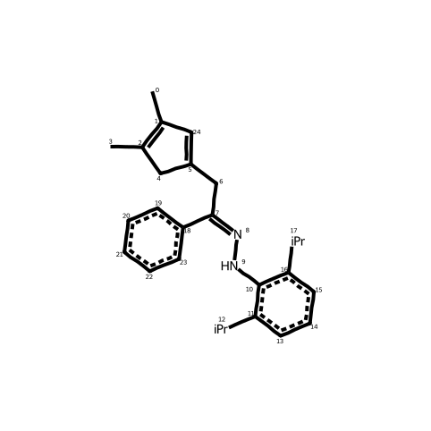 CC1=C(C)CC(CC(=NNc2c(C(C)C)cccc2C(C)C)c2ccccc2)=C1